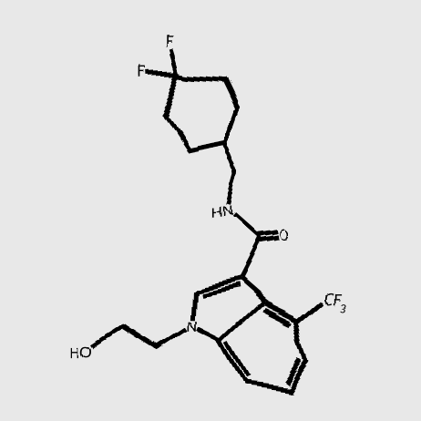 O=C(NCC1CCC(F)(F)CC1)c1cn(CCO)c2cccc(C(F)(F)F)c12